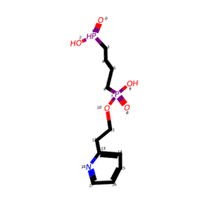 O=[PH](O)CCCCP(=O)(O)OCCc1ccccn1